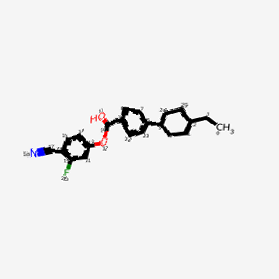 CCC1CCC(c2ccc(C(O)Oc3ccc(C#N)c(F)c3)cc2)CC1